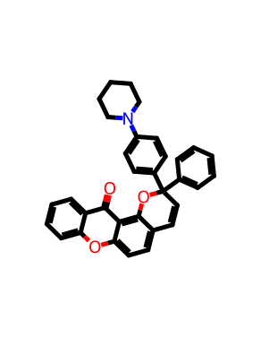 O=c1c2ccccc2oc2ccc3c(c12)OC(c1ccccc1)(c1ccc(N2CCCCC2)cc1)C=C3